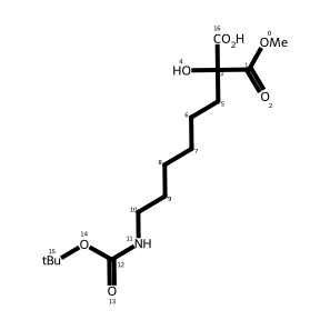 COC(=O)C(O)(CCCCCCNC(=O)OC(C)(C)C)C(=O)O